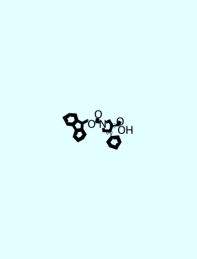 O=C(O)[C@@H]1CN(C(=O)OCC2c3ccccc3-c3ccccc32)C[C@H]1c1ccccc1